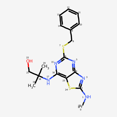 CC(C)Nc1nc2nc(SCc3ccccc3)nc(NC(C)(C)CO)c2s1